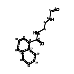 O=[C]NCCNC(=O)c1cccc2ccccc12